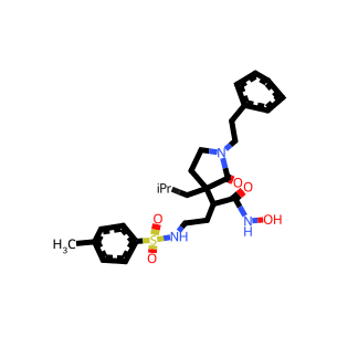 Cc1ccc(S(=O)(=O)NCCC(C(=O)NO)C2(CC(C)C)CCN(CCc3ccccc3)C2=O)cc1